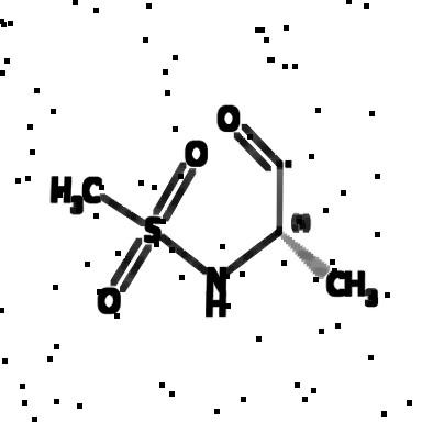 C[C@@H]([C]=O)NS(C)(=O)=O